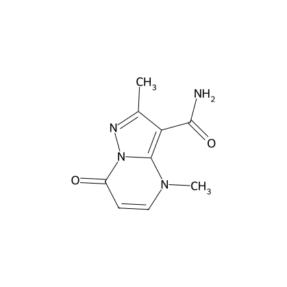 Cc1nn2c(=O)ccn(C)c2c1C(N)=O